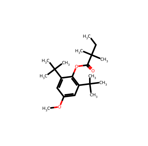 CCC(C)(C)C(=O)Oc1c(C(C)(C)C)cc(OC)cc1C(C)(C)C